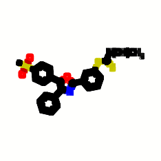 CN(O)C(=S)Sc1cccc(-c2nc(-c3ccccc3)c(-c3ccc(S(C)(=O)=O)cc3)o2)c1